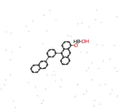 OBOc1cccc2c(-c3cccc(-c4ccc5ccccc5c4)c3)c3ccccc3cc12